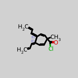 C=C/C=C1\C=CC(C)(C(=O)Cl)C=C\C1=C/C=C